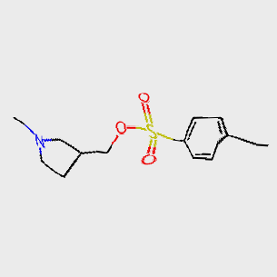 Cc1ccc(S(=O)(=O)OCC2CCN(C)C2)cc1